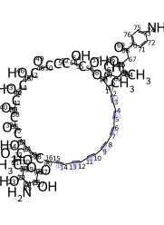 C[C@H]1/C=C/C=C/C=C\C=C/C=C/C=C/C=C/[C@H](O[C@@H]2O[C@H](C)[C@@H](O)[C@H](N)[C@@H]2O)C[C@H](O)[C@H](C(=O)O)[C@@H](O)CC(=O)C[C@@H](O)C[C@@H](O)C[C@@H](O)CC(=O)CCCC(O)CC(=O)O[C@@H]1[C@@H](C)C[C@H](C)[C@@H](O)CC(=O)c1ccc(N)cc1